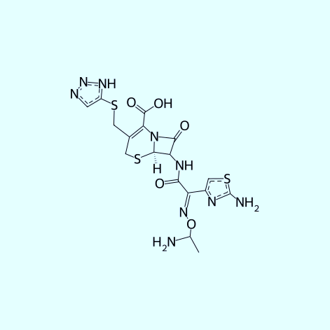 CC(N)O/N=C(/C(=O)NC1C(=O)N2C(C(=O)O)=C(CSc3cnn[nH]3)CS[C@H]12)c1csc(N)n1